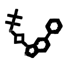 CC(C)(C)[Si](C)(C)OC1CC(n2ncc3ccc(-c4ccccc4)cc32)C1